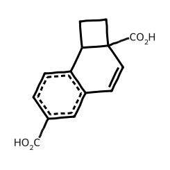 O=C(O)c1ccc2c(c1)C=CC1(C(=O)O)CCC21